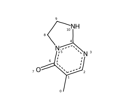 Cc1cnc2n(c1=O)CCN2